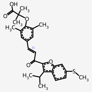 CSc1ccc2c(C(C)C)c(C(=O)/C=C/c3cc(C)c(OC(C)(C)C(=O)O)c(C)c3)oc2c1